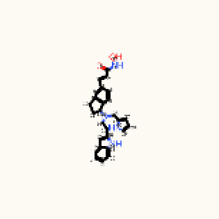 O=C(C=Cc1ccc2c(c1)CCC2N(CCc1cc2ccccc2[nH]1)Cc1ccc[nH]1)NO